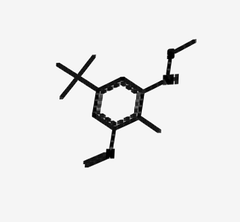 C=Nc1cc(C(C)(C)C)cc(NSC)c1C